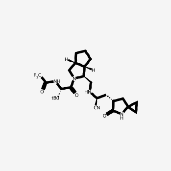 CC(C)(C)[C@H](NC(=O)C(F)(F)F)C(=O)N1C[C@@H]2CCC[C@@H]2[C@H]1CN[C@H](C#N)C[C@@H]1CC2(CC2)NC1=O